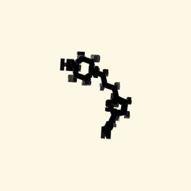 N#Cc1ccc(CCCN2CCNCC2)s1